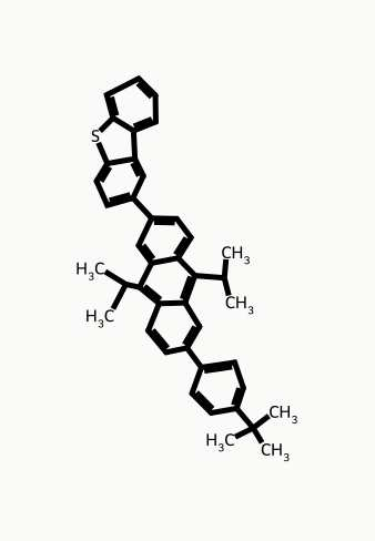 CC(C)c1c2ccc(-c3ccc4sc5ccccc5c4c3)cc2c(C(C)C)c2ccc(-c3ccc(C(C)(C)C)cc3)cc12